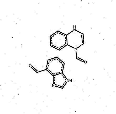 O=CN1C=CNc2ccccc21.O=Cc1cccc2[nH]cnc12